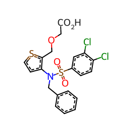 O=C(O)COCc1sccc1N(Cc1ccccc1)S(=O)(=O)c1ccc(Cl)c(Cl)c1